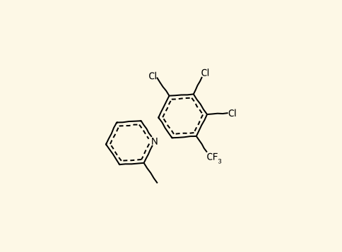 Cc1ccccn1.FC(F)(F)c1ccc(Cl)c(Cl)c1Cl